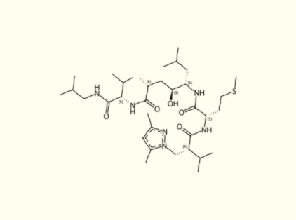 CSCC[C@H](NC(=O)[C@@H](Cn1nc(C)cc1C)C(C)C)C(=O)N[C@@H](CC(C)C)[C@@H](O)C[C@@H](C)C(=O)N[C@H](C(=O)NCC(C)C)C(C)C